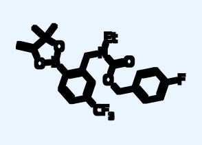 C=C1OB(c2ccc(C(F)(F)F)cc2CN(CC)C(=O)OCc2ccc(F)cc2)OC1(C)C